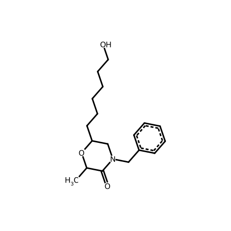 CC1OC(CCCCCCO)CN(Cc2ccccc2)C1=O